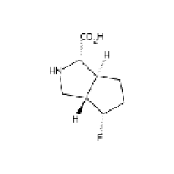 O=C(O)[C@H]1NC[C@@H]2[C@@H]1CC[C@@H]2F